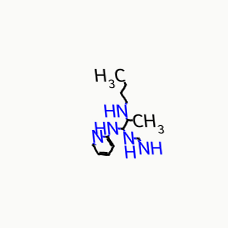 CCCCNC(C)C(NC=N)Nc1ccccn1